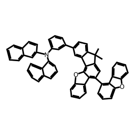 CC1(C)c2ccc(-c3cccc(N(c4ccc5ccccc5c4)c4cccc5ccccc45)c3)cc2-c2c1cc(-c1cccc3oc4ccccc4c13)c1c2oc2ccccc21